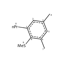 CCCc1cc(C)cc(C)c1SC